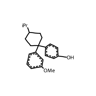 COc1cccc(C2(c3ccc(O)cc3)CCC(C(C)C)CC2)c1